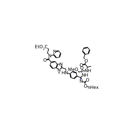 CCCCCCOC(=O)/N=C(\NP(=O)(COC)NC(C)C(=O)OCc1ccccc1)c1ccc(NCc2nc3cc(C(=O)N(CCC(=O)OCC)c4ccccn4)ccc3n2C)cc1